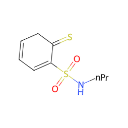 C[CH]CNS(=O)(=O)C1=CC=CCC1=S